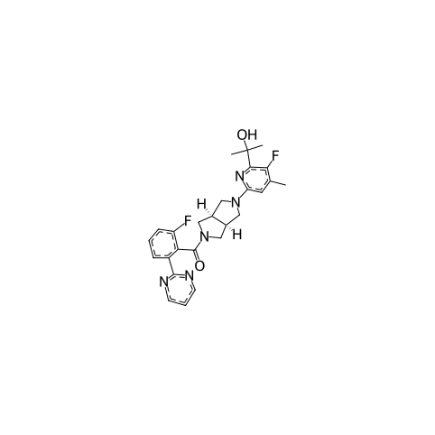 Cc1cc(N2C[C@H]3CN(C(=O)c4c(F)cccc4-c4ncccn4)C[C@H]3C2)nc(C(C)(C)O)c1F